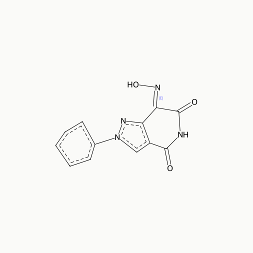 O=C1NC(=O)c2cn(-c3ccccc3)nc2/C1=N\O